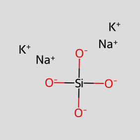 [K+].[K+].[Na+].[Na+].[O-][Si]([O-])([O-])[O-]